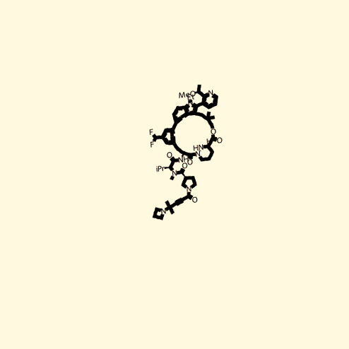 CCn1c(-c2cccnc2[C@H](C)OC)c2c3cc(ccc31)-c1cc(cc(C(F)F)c1)C[C@H](NC(=O)[C@H](C(C)C)N(C)C(=O)[C@H]1CCN(C(=O)C#CC(C)(C)N3CCC3)C1)C(=O)N1CCC[C@H](N1)C(=O)OCC(C)(C)C2